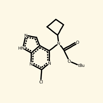 CC(C)(C)OC(=O)N(c1nc(Cl)nc2[nH]ncc12)C1CCC1